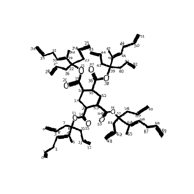 C=CC/C=C(\C)C(CC=C)(CC=C)OC(=O)C1CC(C(=O)OC(CC=C)(CC=C)/C(C)=C/CC=C)C(C(=O)OC(CC=C)(CC=C)/C(C)=C/CC=C)CC1C(=O)OC(CC=C)(CC=C)/C(C)=C/CC=C